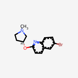 CN1CC[C@@H](Oc2ccc3cc(Br)ccc3n2)C1